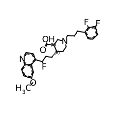 COc1ccc2nccc(C(F)CC[C@@H]3CCN(CCCc4cccc(F)c4F)C[C@@H]3C(=O)O)c2c1